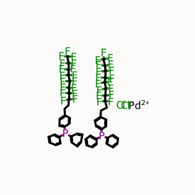 FC(F)(F)C(F)(F)C(F)(F)C(F)(F)C(F)(F)C(F)(F)C(F)(F)C(F)(F)CCc1ccc(P(c2ccccc2)c2ccccc2)cc1.FC(F)(F)C(F)(F)C(F)(F)C(F)(F)C(F)(F)C(F)(F)C(F)(F)C(F)(F)CCc1ccc(P(c2ccccc2)c2ccccc2)cc1.[Cl-].[Cl-].[Pd+2]